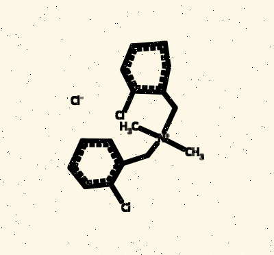 C[N+](C)(Cc1ccccc1Cl)Cc1ccccc1Cl.[Cl-]